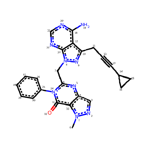 Cn1ncc2nc(Cn3nc(CC#CC4CC4)c4c(N)ncnc43)n(-c3ccccc3)c(=O)c21